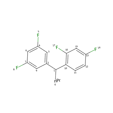 [CH2]CCC(c1cc(F)cc(F)c1)c1ccc(F)cc1F